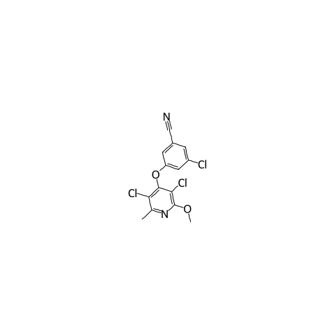 COc1nc(C)c(Cl)c(Oc2cc(Cl)cc(C#N)c2)c1Cl